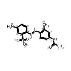 CC(=O)Nc1ccc(N=Nc2ccc(N)cc2S(=O)(=O)O)c(C)c1